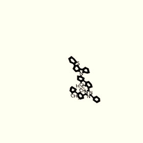 Cc1ccccc1-c1cccc(-c2nc(-c3ccccc3)nc(-c3cccc(-c4cc(-n5c6ccccc6c6c7sc8ccccc8c7ccc65)ccc4C)c3C)n2)c1C